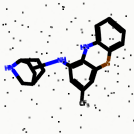 FC(F)(F)c1cc(NC2CC3CCC(C2)NC3)c2c(c1)Sc1ccccc1N2